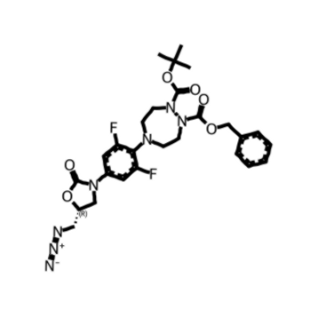 CC(C)(C)OC(=O)N1CCN(c2c(F)cc(N3C[C@H](CN=[N+]=[N-])OC3=O)cc2F)CCN1C(=O)OCc1ccccc1